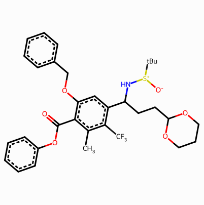 Cc1c(C(=O)Oc2ccccc2)c(OCc2ccccc2)cc(C(CCC2OCCCO2)N[S+]([O-])C(C)(C)C)c1C(F)(F)F